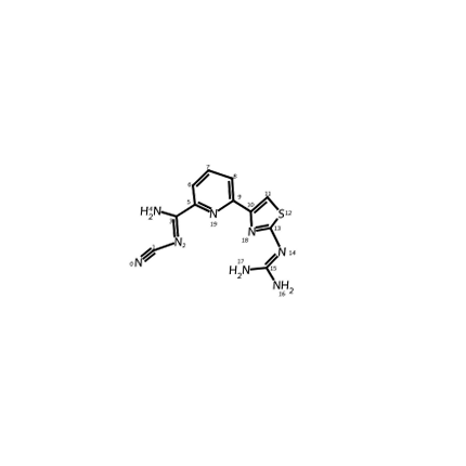 N#CN=C(N)c1cccc(-c2csc(N=C(N)N)n2)n1